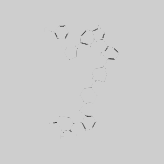 O=C1CCC(c2ccccc2CN2CCC(N3CCN(c4cccc(-c5cnc6ccc(N7CCC[C@@H]7c7cccc(F)c7)nn56)n4)CC3)CC2)C(=O)N1